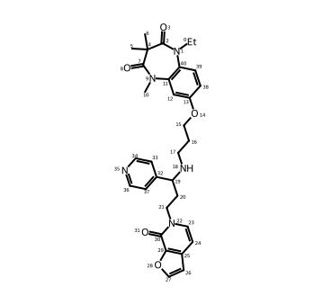 CCN1C(=O)C(C)(C)C(=O)N(C)c2cc(OCCCNC(CCn3ccc4ccoc4c3=O)c3ccncc3)ccc21